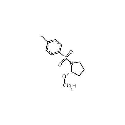 Cc1ccc(S(=O)(=O)N2CCC[C@@H]2OC(=O)O)cc1